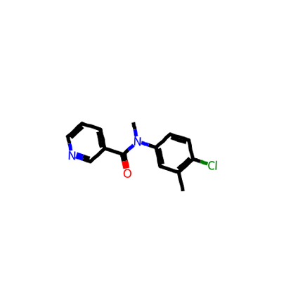 Cc1cc(N(C)C(=O)c2cccnc2)ccc1Cl